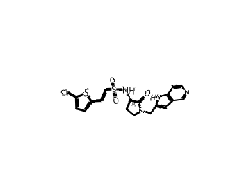 O=C1[C@H](NS(=O)(=O)C=Cc2ccc(Cl)s2)CCN1Cc1cc2cnccc2[nH]1